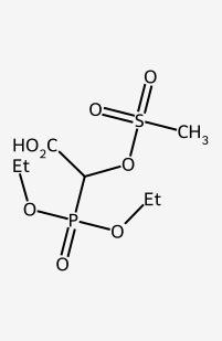 CCOP(=O)(OCC)C(OS(C)(=O)=O)C(=O)O